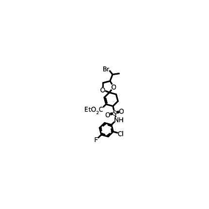 CCOC(=O)C1=CC2(CCC1S(=O)(=O)Nc1ccc(F)cc1Cl)OCC(C(C)Br)O2